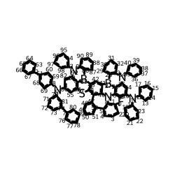 Fc1cccc2c1N1c3cc(N(c4ccccc4)c4ccccc4)cc4c3B(c3ccccc3N4c3ccccc3)c3cc4c(c(c31)-c1ccccc1-2)Sc1cc(N(c2ccc(-c3ccccc3)cc2)c2cccc(-c3ccccc3)c2)cc2c1B4c1ccccc1N2c1ccccc1